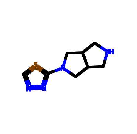 c1nnc(N2CC3CNCC3C2)s1